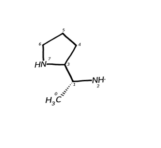 C[C@@H]([NH])C1CCCN1